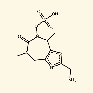 CC1c2sc(CN)nc2CN(C)C(=O)N1OS(=O)(=O)O